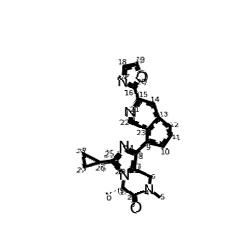 C[C@H]1C(=O)N(C)Cc2c(-c3cccc4cc(-c5ncco5)ncc34)nc(C3CC3)n21